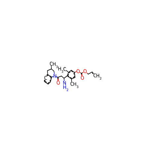 C=CCOC(=O)Oc1cc(C)c(C(N)CC(=O)N2CC(C)Cc3ccccc32)c(C)c1